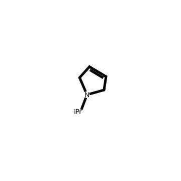 CC(C)N1CC=CC1